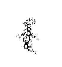 CNC(=N)Oc1ccc(/C(C)=C(\C=O)Cc2ccnc(N)c2F)c(OC)c1